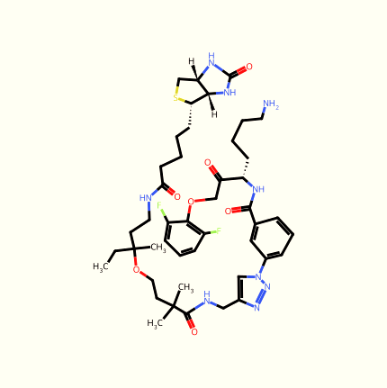 CCC(C)(CCNC(=O)CCCC[C@@H]1SC[C@@H]2NC(=O)N[C@@H]21)OCCC(C)(C)C(=O)NCc1cn(-c2cccc(C(=O)N[C@@H](CCCCN)C(=O)COc3c(F)cccc3F)c2)nn1